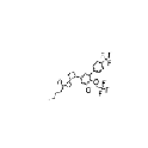 CCCCC(=O)OC1CCC1c1cc(Cl)c(OCC(F)(F)F)c(-c2ccc(C(F)(F)F)cc2)c1